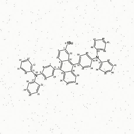 CC(C)(C)c1ccc2c(-c3ccc(N(c4ccccc4)c4ccccc4)cc3)c3ccccc3c(-c3ccc(N(c4ccccc4)c4ccccc4)cc3)c2c1